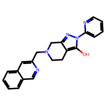 Oc1c2c(nn1-c1ccccn1)CN(Cc1cc3ccccc3cn1)CC2